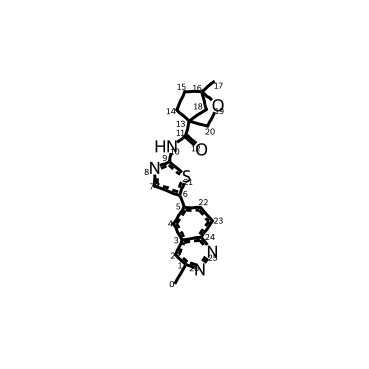 Cc1cc2cc(-c3cnc(NC(=O)C45CCC(C)(C4)OC5)s3)ccc2nn1